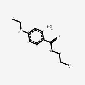 CCOc1ccc(C(=O)NCCN)cc1.Cl